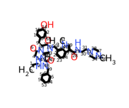 C=CCN1CC(=O)N2[C@@H](Cc3ccc(O)cc3)C(=O)N(Cc3cccc4c(C(=O)NCCN5CCN(C)CC5)cn(C)c34)C[C@@H]2N1C(=O)NCc1ccccc1